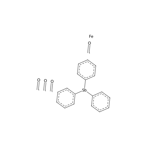 [C]=O.[C]=O.[C]=O.[C]=O.[Fe].c1cc[c]([Sb]([c]2ccccc2)[c]2ccccc2)cc1